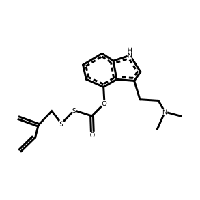 C=CC(=C)CSSC(=O)Oc1cccc2[nH]cc(CCN(C)C)c12